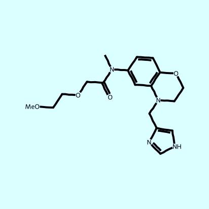 COCCOCC(=O)N(C)c1ccc2c(c1)N(Cc1c[nH]cn1)CCO2